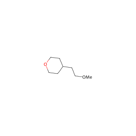 COCCC1CCOCC1